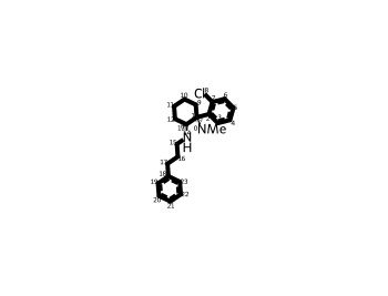 CN[C@@]1(c2ccccc2Cl)CCCC[C@H]1NCCCc1ccccc1